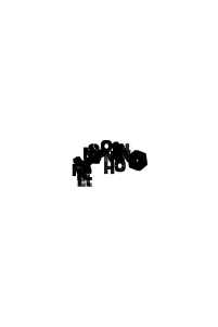 CCn1cc(C2=NOC(C(=O)Nc3c(C)n(C)n(-c4ccccc4)c3=O)C2)c(C)n1